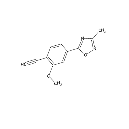 C#Cc1ccc(-c2nc(C)no2)cc1OC